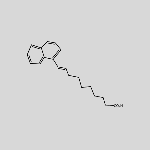 O=C(O)CCCCCCCC=Cc1cccc2ccccc12